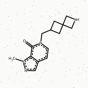 Cn1ncc2ccn(CC3CC4(CNC4)C3)c(=O)c21